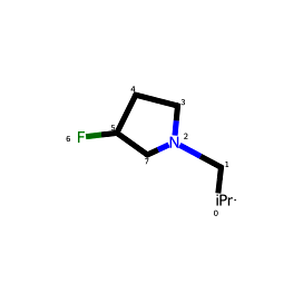 C[C](C)CN1CCC(F)C1